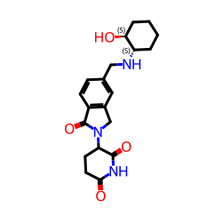 O=C1CCC(N2Cc3cc(CN[C@H]4CCCC[C@@H]4O)ccc3C2=O)C(=O)N1